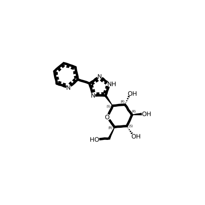 OC[C@H]1O[C@@H](c2nc(-c3ccccn3)n[nH]2)[C@H](O)[C@@H](O)[C@@H]1O